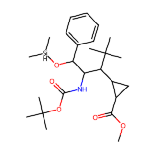 COC(=O)C1CC1C(C(NC(=O)OC(C)(C)C)C(O[SiH](C)C)c1ccccc1)C(C)(C)C